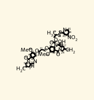 C=C1C[C@H]2C=Nc3cc(OCCCOc4cc5c(cc4OC)C(=O)N4CC(=C)C[C@H]4C(O)N5C(=O)OCC(C)SSc4cc([N+](=O)[O-])ccn4)c(OC)cc3C(=O)N2C1